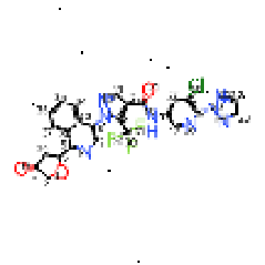 O=C1COC(c2ncc(-n3ncc(C(=O)Nc4cnc(-n5nccn5)c(Cl)c4)c3C(F)(F)F)c3ccccc23)C1